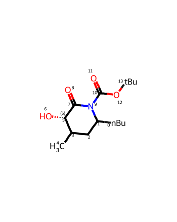 CCCCC1CC(C)[C@H](O)C(=O)N1C(=O)OC(C)(C)C